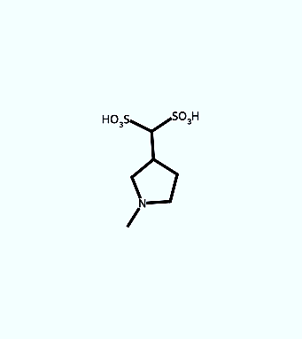 CN1CCC(C(S(=O)(=O)O)S(=O)(=O)O)C1